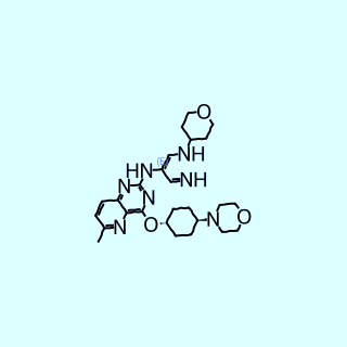 Cc1ccc2nc(N/C(C=N)=C/NC3CCOCC3)nc(O[C@H]3CC[C@H](N4CCOCC4)CC3)c2n1